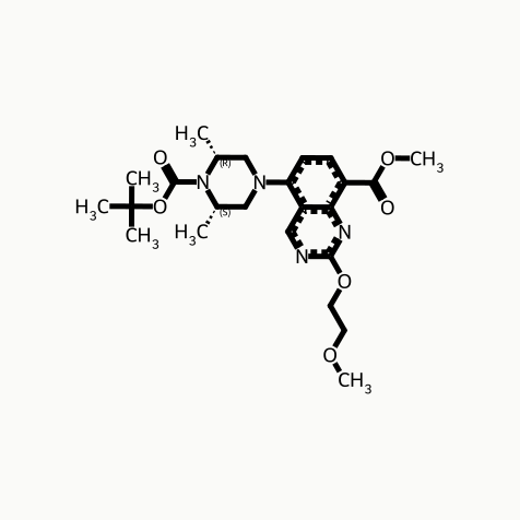 COCCOc1ncc2c(N3C[C@@H](C)N(C(=O)OC(C)(C)C)[C@@H](C)C3)ccc(C(=O)OC)c2n1